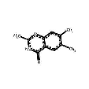 Cc1nc2cc(C)c(C)cc2c(=O)[nH]1